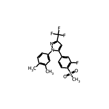 Cc1ccc(-n2nc(C(F)(F)F)cc2-c2ccc(S(C)(=O)=O)c(F)c2)cc1C